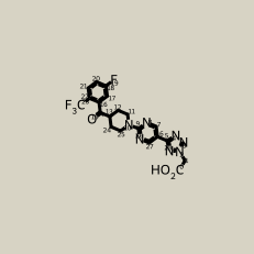 O=C(O)Cn1nnc(-c2cnc(N3CCC(C(=O)c4cc(F)ccc4C(F)(F)F)CC3)nc2)n1